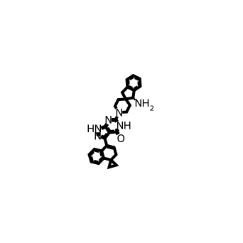 N[C@@H]1c2ccccc2CC12CCN(c1nc3[nH]nc(C4=CCC5(CC5)c5ccccc54)c3c(=O)[nH]1)CC2